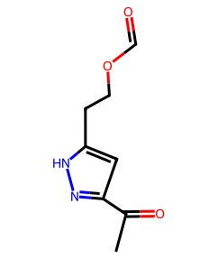 CC(=O)c1cc(CCOC=O)[nH]n1